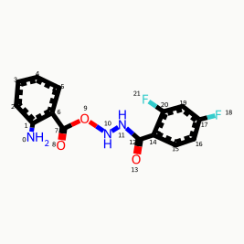 Nc1ccccc1C(=O)ONNC(=O)c1ccc(F)cc1F